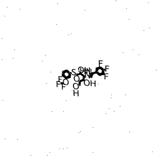 OCC1O[C@H](Sc2cccc(OC(F)(F)F)c2)C(O)[C@@H](n2cc(-c3cc(F)c(F)c(F)c3)[nH]2)[C@H]1O